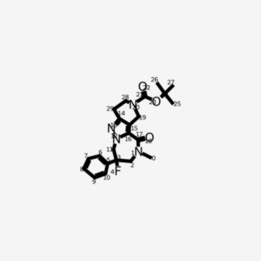 CN1CC(F)(c2ccccc2)Cn2nc3c(c2C1=O)CN(C(=O)OC(C)(C)C)CC3